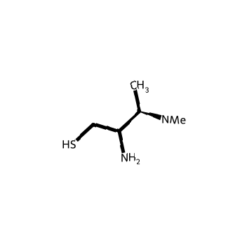 CN[C@H](C)C(N)CS